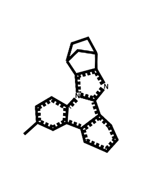 Cc1ccc2c(c1)c1ccccc1c1nc3c(n21)C1CCC3C1